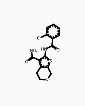 NC(=O)c1c(NC(=O)c2ccccc2Cl)sc2c1CCNC2